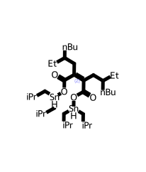 CCCCC(CC)C/C(C(=O)[O][SnH]([CH2]C(C)C)[CH2]C(C)C)=C(\CC(CC)CCCC)C(=O)[O][SnH]([CH2]C(C)C)[CH2]C(C)C